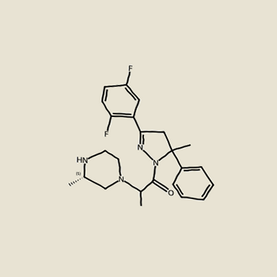 CC(C(=O)N1N=C(c2cc(F)ccc2F)CC1(C)c1ccccc1)N1CCN[C@@H](C)C1